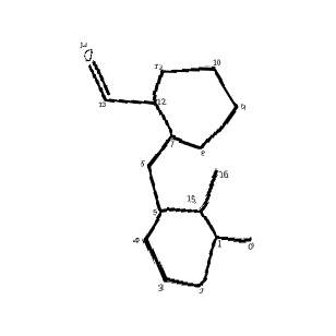 CC1CCCC(CC2CCCCC2C=O)C1C